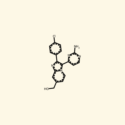 Nc1nccc(-c2c(-c3ccc(Cl)cc3)nc3cc(CO)ccn23)n1